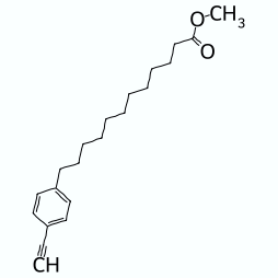 C#Cc1ccc(CCCCCCCCCCCC(=O)OC)cc1